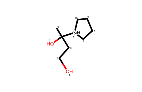 CC(O)(CCO)[SiH]1CCCC1